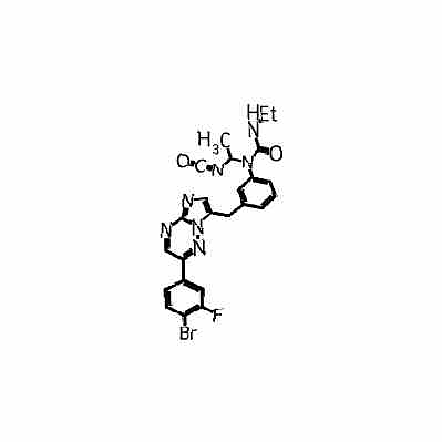 CCNC(=O)N(c1cccc(Cc2cnc3ncc(-c4ccc(Br)c(F)c4)nn23)c1)C(C)N=C=O